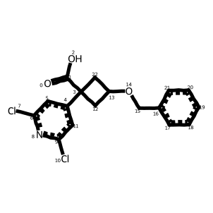 O=C(O)C1(c2cc(Cl)nc(Cl)c2)CC(OCc2ccccc2)C1